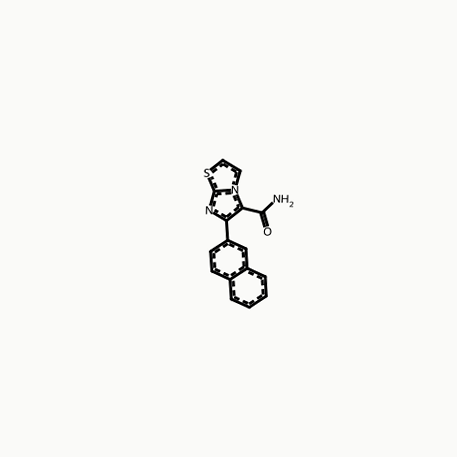 NC(=O)c1c(-c2ccc3ccccc3c2)nc2sccn12